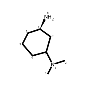 CN(C)C1CCC[C@@H](N)C1